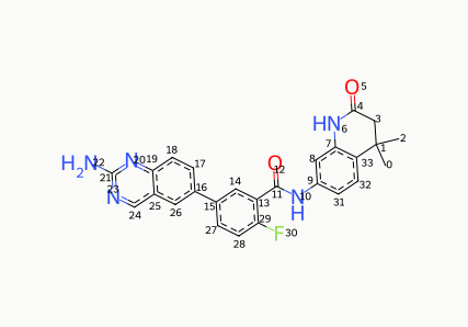 CC1(C)CC(=O)Nc2cc(NC(=O)c3cc(-c4ccc5nc(N)ncc5c4)ccc3F)ccc21